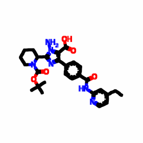 CCc1ccnc(NC(=O)c2ccc(-c3nc(C4CCCCN4C(=O)OC(C)(C)C)n(N)c3C(=O)O)cc2)c1